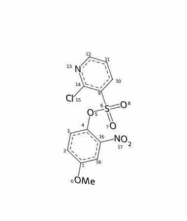 COc1ccc(OS(=O)(=O)c2cccnc2Cl)c([N+](=O)[O-])c1